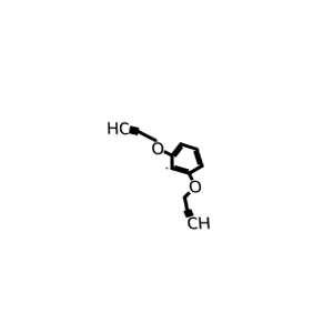 C#CCOc1[c]c(OCC#C)ccc1